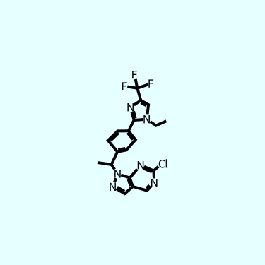 CCn1cc(C(F)(F)F)nc1-c1ccc(C(C)n2ncc3cnc(Cl)nc32)cc1